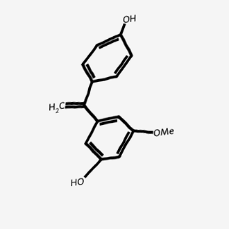 C=C(c1ccc(O)cc1)c1cc(O)cc(OC)c1